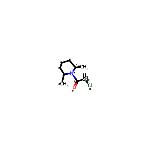 CC1CCCC(C)N1C(=O)[SiH2]Cl